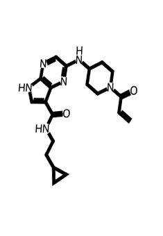 C=CC(=O)N1CCC(Nc2cnc3[nH]cc(C(=O)NCCC4CC4)c3n2)CC1